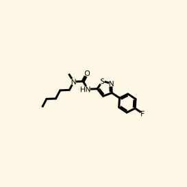 CCCCCN(C)C(=O)Nc1cc(-c2ccc(F)cc2)ns1